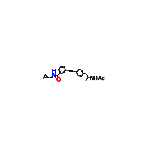 CC(=O)NC(C)Cc1ccc(C#Cc2cccc(C(=O)NCC3CC3)c2)cc1